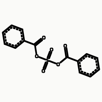 O=C(OS(=O)(=O)OC(=O)c1ccccc1)c1ccccc1